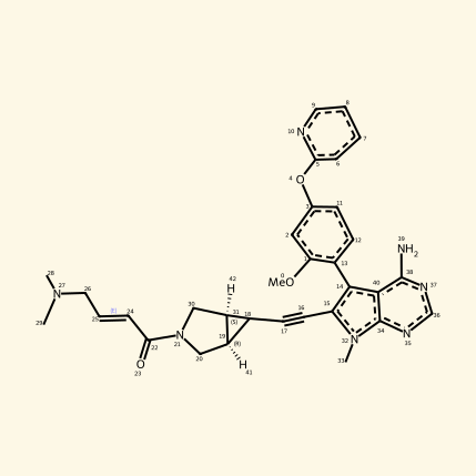 COc1cc(Oc2ccccn2)ccc1-c1c(C#CC2[C@H]3CN(C(=O)/C=C/CN(C)C)C[C@@H]23)n(C)c2ncnc(N)c12